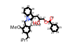 COc1cc(CC(C)C)cc(OC)c1Cn1cc(C[C@H](O)COC(=O)c2ccccc2)c2ccccc21